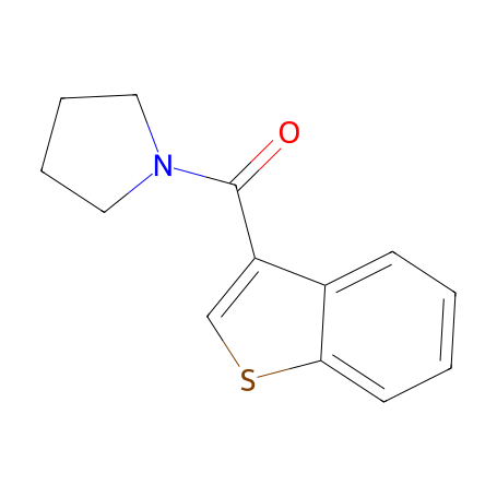 O=C(c1csc2ccccc12)N1CCCC1